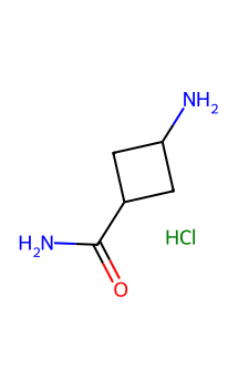 Cl.NC(=O)C1CC(N)C1